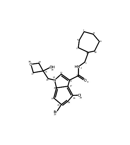 O=C(NCC1CCCCCC1)c1cn(CC2(O)COC2)c2cc(Br)cc(Cl)c12